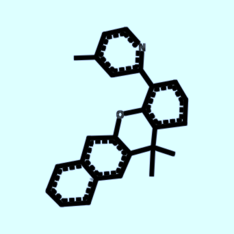 Cc1ccnc(-c2cccc3c2Oc2cc4ccccc4cc2C3(C)C)c1